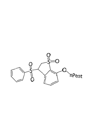 CCCCCOc1cccc2c1S(=O)(=O)CC2S(=O)(=O)c1ccccc1